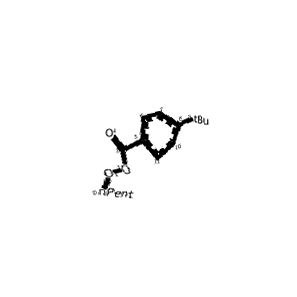 [CH2]CCCCOOC(=O)c1ccc(C(C)(C)C)cc1